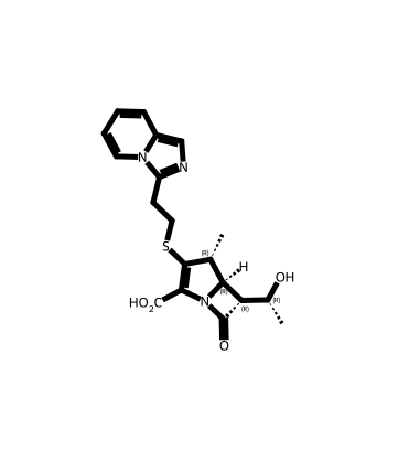 C[C@@H](O)[C@@H]1C(=O)N2C(C(=O)O)=C(SCCc3ncc4ccccn34)[C@H](C)[C@@H]12